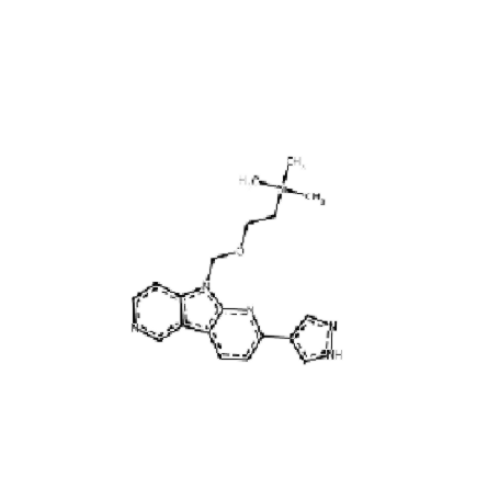 C[Si](C)(C)CCOCn1c2ccncc2c2ccc(-c3cn[nH]c3)nc21